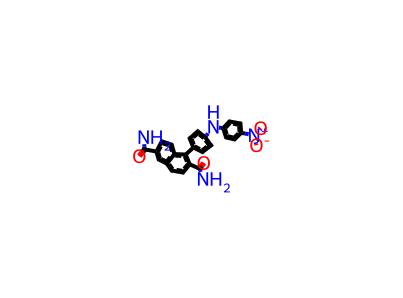 NC(=O)c1ccc2c(-c3ccc(Nc4ccc([N+](=O)[O-])cc4)cc3)c(C(N)=O)ccc2c1